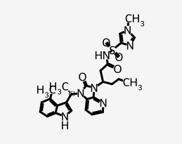 CCCC(CC(=O)NS(=O)(=O)c1cn(C)cn1)n1c(=O)n([C@@H](C)c2c[nH]c3cccc(C)c23)c2cccnc21